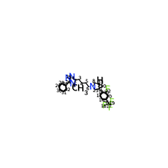 Cn1c(CCCCN2C[C@@H]3C[C@]3(c3ccc(C(F)(F)F)cc3F)C2)nnc1-c1ccccc1